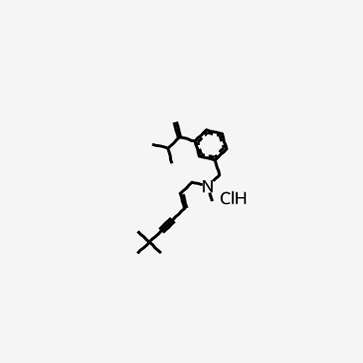 C=C(c1cccc(CN(C)C/C=C/C#CC(C)(C)C)c1)C(C)C.Cl